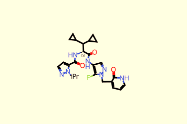 CC(C)n1nccc1C(=O)N[C@H](C(=O)Nc1cnn(Cc2ccc[nH]c2=O)c1F)C(C1CC1)C1CC1